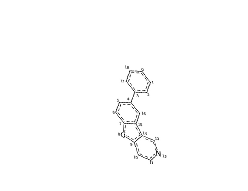 c1ccc(-c2ccc3oc4ccncc4c3c2)cc1